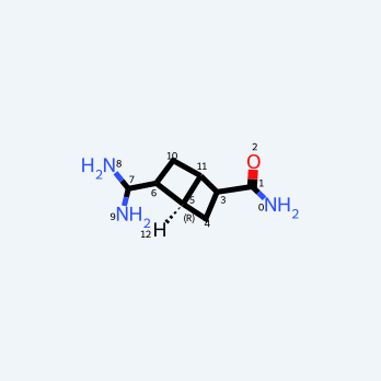 NC(=O)C1C[C@H]2C(C(N)N)CC12